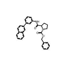 O=C(Nc1cccc(-c2ccc3ccccc3c2)c1)C1CCCN1C(=O)OCc1ccccc1